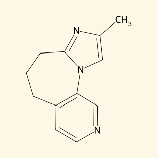 Cc1cn2c(n1)CCCc1ccncc1-2